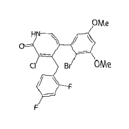 COc1cc(OC)c(Br)c(-c2c[nH]c(=O)c(Cl)c2Cc2ccc(F)cc2F)c1